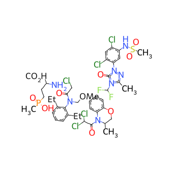 CC1COc2ccccc2N1C(=O)C(Cl)Cl.CCc1cccc(CC)c1N(COC)C(=O)CCl.CP(=O)(O)CCC(N)C(=O)O.Cc1nn(-c2cc(NS(C)(=O)=O)c(Cl)cc2Cl)c(=O)n1C(F)F